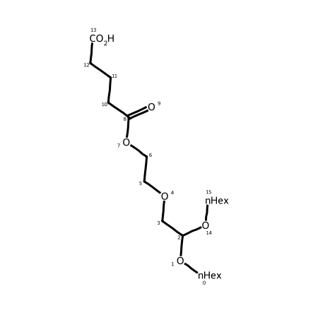 CCCCCCOC(COCCOC(=O)CCCC(=O)O)OCCCCCC